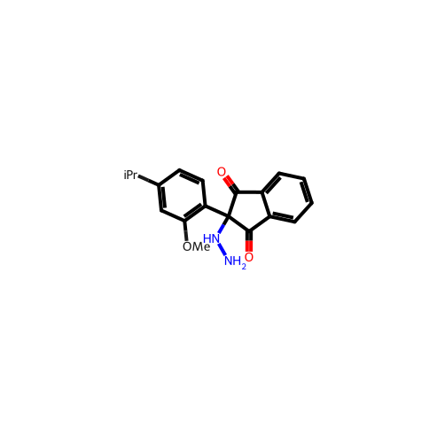 COc1cc(C(C)C)ccc1C1(NN)C(=O)c2ccccc2C1=O